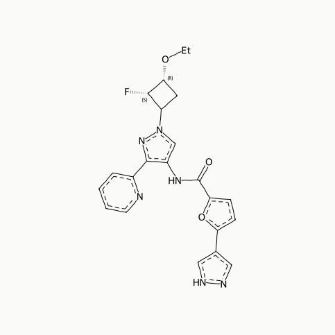 CCO[C@@H]1CC(n2cc(NC(=O)c3ccc(-c4cn[nH]c4)o3)c(-c3ccccn3)n2)[C@@H]1F